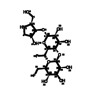 OC[C@H]1NC[C@@H](O)[C@@H]1O[C@H]1O[C@H](CF)[C@@H](O[C@@H]2O[C@H](CF)[C@@H](O)[C@H](O)[C@H]2O)[C@H](O)[C@H]1O